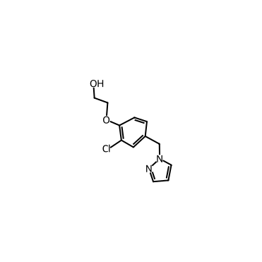 OCCOc1ccc(Cn2cccn2)cc1Cl